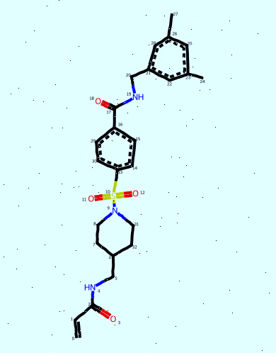 C=CC(=O)NCC1CCN(S(=O)(=O)c2ccc(C(=O)NCc3cc(C)cc(C)c3)cc2)CC1